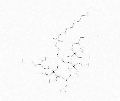 CCCCCCCCCCCCCCCCCC[N+](C)(C)CCC[Si](OCC(CO)(CO)NCC(O)CS(=O)(=O)[O-])(OCC(CO)(CO)NCC(O)CS(=O)(=O)O)OCC(CO)(CO)NCC(O)CS(=O)(=O)O